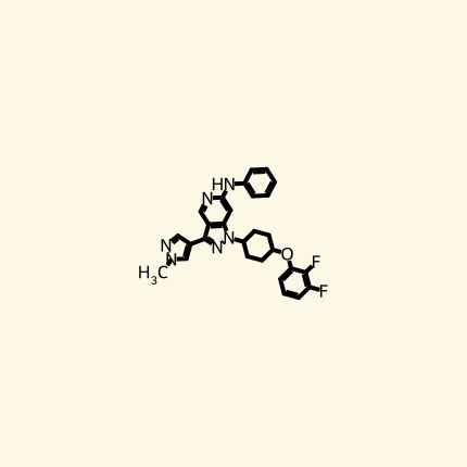 Cn1cc(-c2nn(C3CCC(Oc4cccc(F)c4F)CC3)c3cc(Nc4ccccc4)ncc23)cn1